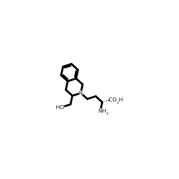 N[C@H](CCN1Cc2ccccc2CC1CO)C(=O)O